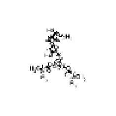 CC(C)OC(=O)OCOP(=O)(COC[C@H]1O[C@@H](n2cnc3c(S)nc(N)nc32)C[C@@H]1O)OCOC(=O)OC(C)C